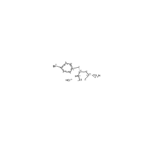 CCN[C@H](Cc1ccc(Br)cc1)C[C@@H](C)C(=O)O.Cl